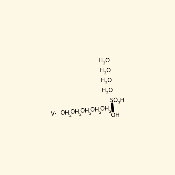 O.O.O.O.O.O.O.O.O.O=S(=O)(O)O.[V]